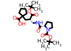 CC(C)(C)OC(=O)[C@H](CNC(=O)[C@@H]1CCCN1C(=O)OC(C)(C)C)CC1(C(=O)O)CCCC1